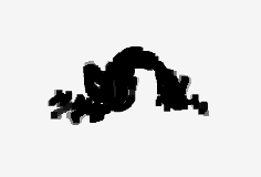 Nc1cc(Cn2c(=O)n(C3CCN(C(=O)C4CCN(Cc5cnc(N)nc5)CC4)CC3)c3ccccc32)ccn1